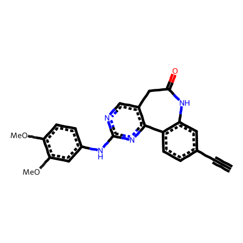 C#Cc1ccc2c(c1)NC(=O)Cc1cnc(Nc3ccc(OC)c(OC)c3)nc1-2